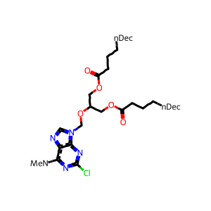 CCCCCCCCCCCCCC(=O)OCC(COC(=O)CCCCCCCCCCCCC)OCn1cnc2c(NC)nc(Cl)nc21